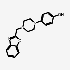 Oc1ccc(N2CCN(Cc3nc4ccccc4o3)CC2)cc1